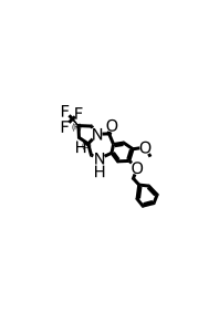 COc1cc2c(cc1OCc1ccccc1)NC[C@@H]1C[C@@H](C(F)(F)F)CN1C2=O